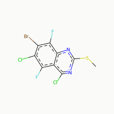 CSc1nc(Cl)c2c(F)c(Cl)c(Br)c(F)c2n1